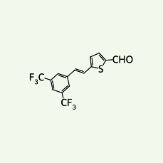 O=Cc1ccc(/C=C/c2cc(C(F)(F)F)cc(C(F)(F)F)c2)s1